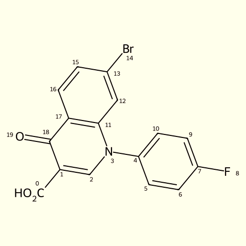 O=C(O)c1cn(-c2ccc(F)cc2)c2cc(Br)ccc2c1=O